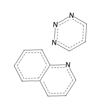 c1ccc2ncccc2c1.c1cnnnc1